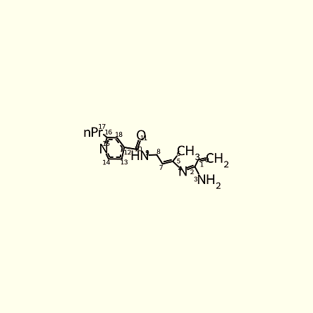 C=C/C(N)=N\C(C)=C\CNC(=O)c1ccnc(CCC)c1